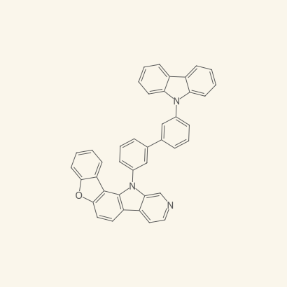 c1cc(-c2cccc(-n3c4cnccc4c4ccc5oc6ccccc6c5c43)c2)cc(-n2c3ccccc3c3ccccc32)c1